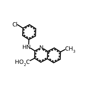 Cc1ccc2cc(C(=O)O)c(Nc3cccc(Cl)c3)nc2c1